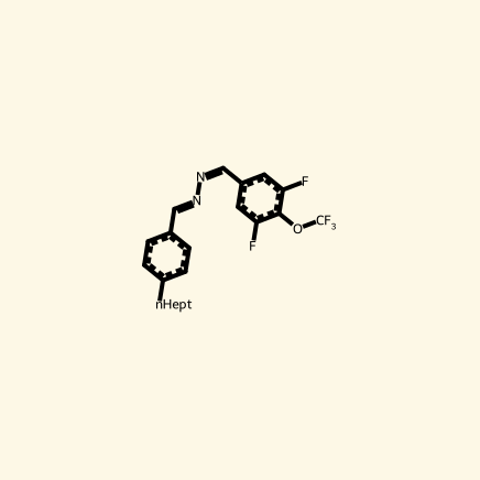 CCCCCCCc1ccc(/C=N/N=C\c2cc(F)c(OC(F)(F)F)c(F)c2)cc1